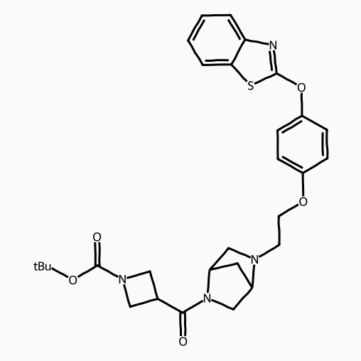 CC(C)(C)OC(=O)N1CC(C(=O)N2CC3CC2CN3CCOc2ccc(Oc3nc4ccccc4s3)cc2)C1